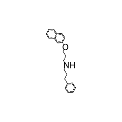 c1ccc(CCCNCCCOc2ccc3ccccc3c2)cc1